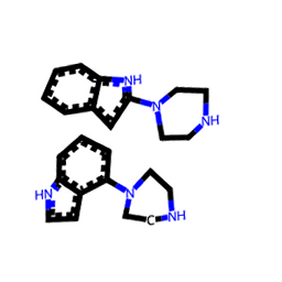 c1cc(N2CCNCC2)c2cc[nH]c2c1.c1ccc2[nH]c(N3CCNCC3)cc2c1